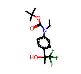 CCN(C(=O)OC(C)(C)C)c1ccc(C(C)(O)C(F)(F)F)cc1